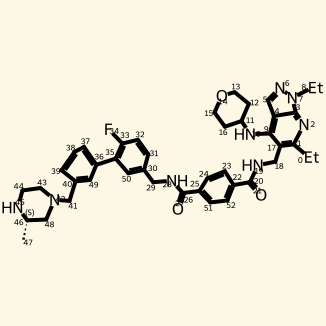 CCc1nc2c(cnn2CC)c(NC2CCOCC2)c1CNC(=O)c1ccc(C(=O)NCc2ccc(F)c(-c3cccc(CN4CCN[C@@H](C)C4)c3)c2)cc1